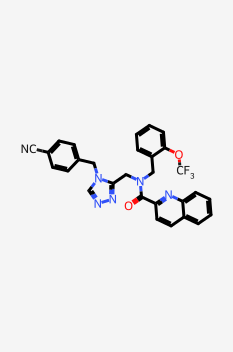 N#Cc1ccc(Cn2cnnc2CN(Cc2ccccc2OC(F)(F)F)C(=O)c2ccc3ccccc3n2)cc1